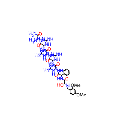 COc1ccc(CNC(O)C(=O)NC(C(=O)NC(NC(=N)N)C(=O)NC(NC(=N)N)C(=O)NC(NC(=N)N)C(=O)NC(NC(=N)N)C(=O)NC(N)C(N)=O)c2ccccc2)c(OC)c1